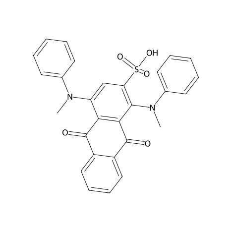 CN(c1ccccc1)c1cc(S(=O)(=O)O)c(N(C)c2ccccc2)c2c1C(=O)c1ccccc1C2=O